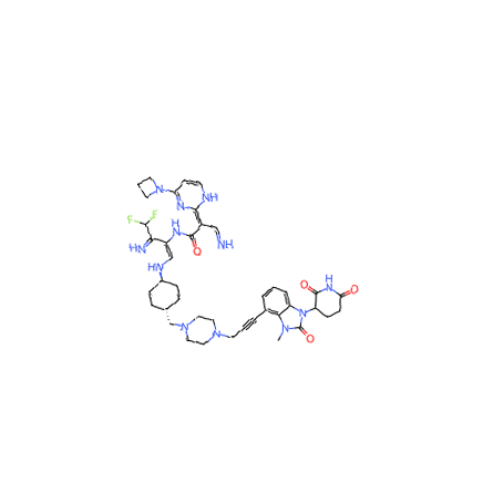 Cn1c(=O)n(C2CCC(=O)NC2=O)c2cccc(C#CCN3CCN(C[C@H]4CC[C@H](N/C=C(/NC(=O)/C(C=N)=C5\N=C(N6CCC6)C=CN5)C(=N)C(F)F)CC4)CC3)c21